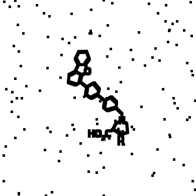 O=C(O)C1CN(Cc2ccc(-c3ccc(-c4cccc5c4oc4ccccc45)cc3)cc2)CCN1